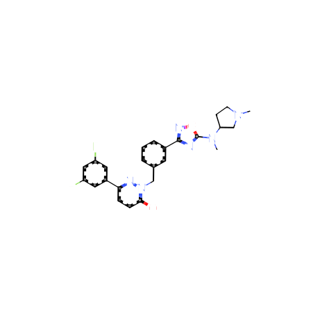 CN1CCC(N(C)c2nc(-c3cccc(Cn4nc(-c5cc(F)cc(F)c5)ccc4=O)c3)no2)C1